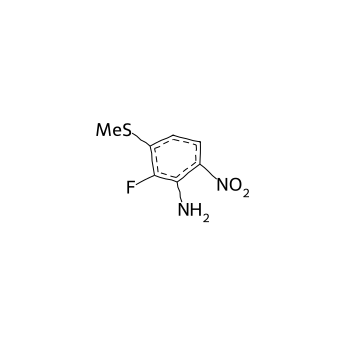 CSc1ccc([N+](=O)[O-])c(N)c1F